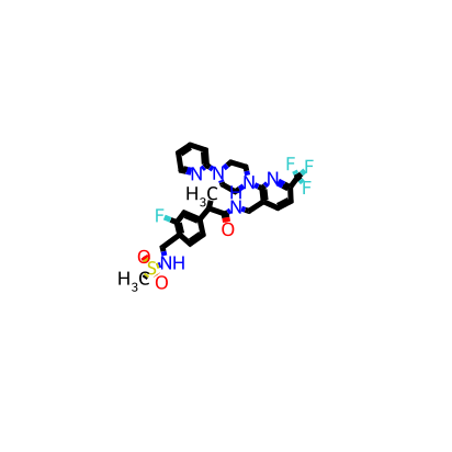 CC(C(=O)NCc1ccc(C(F)(F)F)nc1N1CCN(c2ccccn2)CC1)c1ccc(CNS(C)(=O)=O)c(F)c1